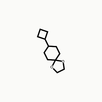 C1CC(C2CCC3(CC2)OCCO3)C1